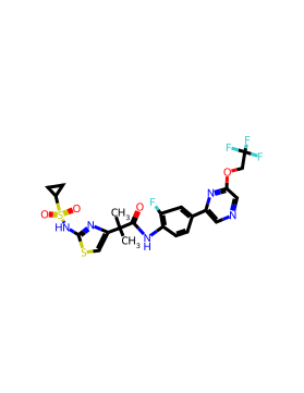 CC(C)(C(=O)Nc1ccc(-c2cncc(OCC(F)(F)F)n2)cc1F)c1csc(NS(=O)(=O)C2CC2)n1